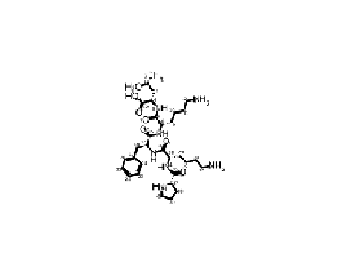 CC(C)C[C@H](NC(=O)[C@H](CCCCN)NC(=O)[C@H](Cc1ccccc1)NC(=O)[C@H](CCCCN)NC(=O)[C@@H]1CCCN1)C(=O)O